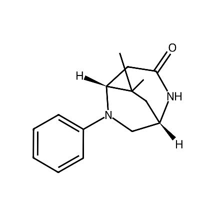 CC1(C)C[C@H]2CN(c3ccccc3)[C@@H]1CC(=O)N2